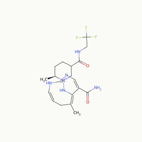 C\C1=C(NN2CC(C(=O)NCC(F)(F)F)CC[C@@H]2C)/C(C(N)=O)=C\N=C\N/C=C\C1